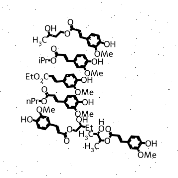 CCC(O)COC(=O)C=Cc1ccc(O)c(OC)c1.CCCOC(=O)C=Cc1ccc(O)c(OC)c1.CCOC(=O)C=Cc1ccc(O)c(OC)c1.COc1cc(C=CC(=O)OC(C)C(C)O)ccc1O.COc1cc(C=CC(=O)OC(C)C)ccc1O.COc1cc(C=CC(=O)OCCC(C)O)ccc1O